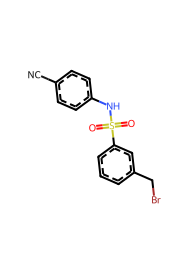 N#Cc1ccc(NS(=O)(=O)c2cccc(CBr)c2)cc1